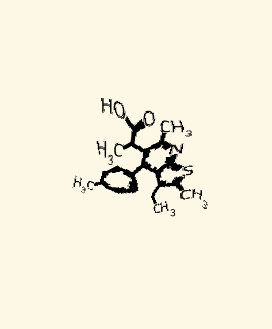 CCc1c(C)sc2nc(C)c(C(C)C(=O)O)c(-c3ccc(C)cc3)c12